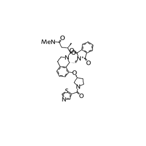 CNC(=O)C[C@@H](C)C(=O)N1CCc2cccc(O[C@H]3CCN(C(=O)c4cncs4)C3)c2[C@H]1C=[N+]1C(=O)c2ccccc2C1=O